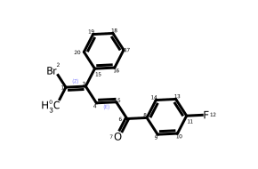 C/C(Br)=C(\C=C\C(=O)c1ccc(F)cc1)c1ccccc1